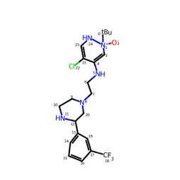 CC(C)(C)[N+]1([O-])C=C(NCCN2CCNC(c3cccc(C(F)(F)F)c3)C2)C(Cl)=CN1